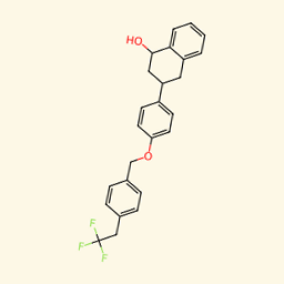 OC1CC(c2ccc(OCc3ccc(CC(F)(F)F)cc3)cc2)Cc2ccccc21